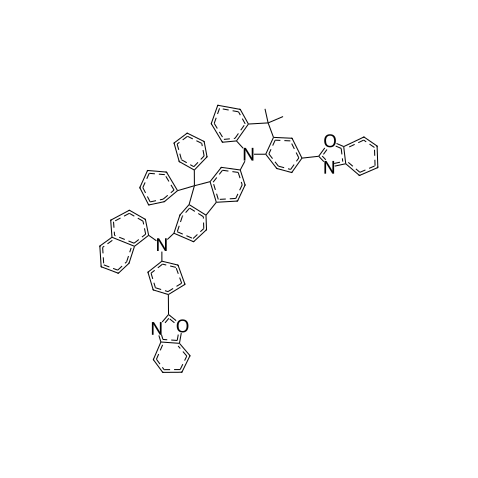 CC1(C)c2ccccc2N(c2ccc3c(c2)C(c2ccccc2)(c2ccccc2)c2cc(N(c4ccc(-c5nc6ccccc6o5)cc4)c4cccc5ccccc45)ccc2-3)c2ccc(-c3nc4ccccc4o3)cc21